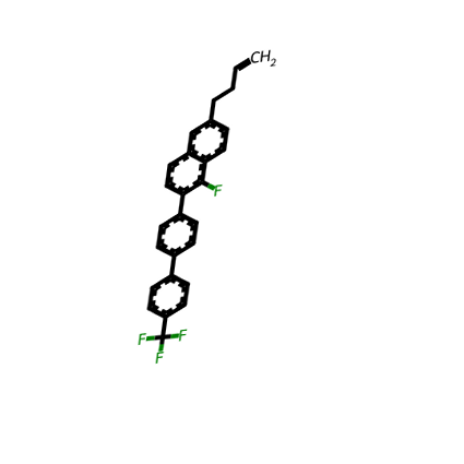 C=CCCc1ccc2c(F)c(-c3ccc(-c4ccc(C(F)(F)F)cc4)cc3)ccc2c1